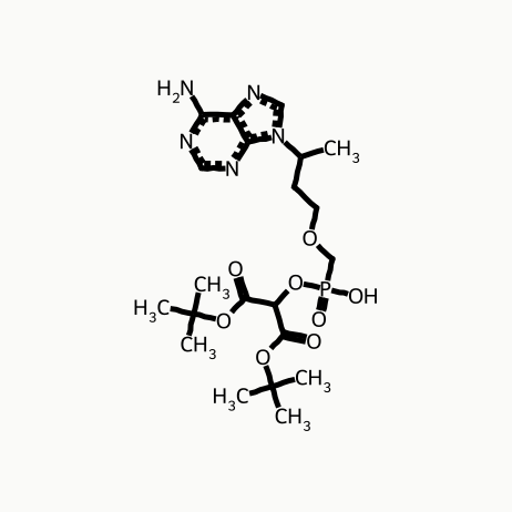 CC(CCOCP(=O)(O)OC(C(=O)OC(C)(C)C)C(=O)OC(C)(C)C)n1cnc2c(N)ncnc21